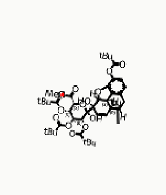 COC(=O)[C@H]1O[C@](O)([C@@]2(O)C=C[C@H]3[C@H]4Cc5ccc(OC(=O)C(C)(C)C)c6c5[C@@]3(CCN4C)[C@H]2O6)[C@H](OC(=O)C(C)(C)C)[C@@H](OC(=O)C(C)(C)C)[C@@H]1OC(=O)C(C)(C)C